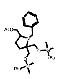 CC(=O)OCC1CCC(CO[Si](C)(C)C(C)(C)C)(CO[Si](C)(C)C(C)(C)C)N1Cc1ccccc1